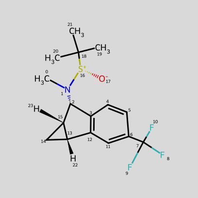 CN([C@@H]1c2ccc(C(F)(F)F)cc2[C@@H]2C[C@H]12)[S@@+]([O-])C(C)(C)C